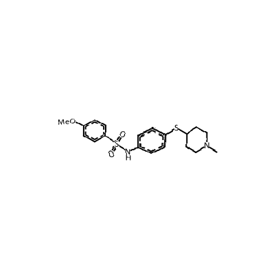 COc1ccc(S(=O)(=O)Nc2ccc(SC3CCN(C)CC3)cc2)cc1